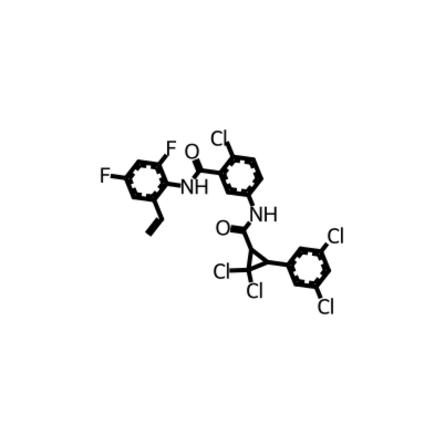 C=Cc1cc(F)cc(F)c1NC(=O)c1cc(NC(=O)C2C(c3cc(Cl)cc(Cl)c3)C2(Cl)Cl)ccc1Cl